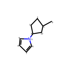 CC1CCC(n2cccc2)C1